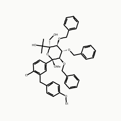 CCOc1ccc(Cc2cc([C@]3(OC)O[C@@](CO)(C(C)(C)O)[C@@H](OCc4ccccc4)[C@H](OCc4ccccc4)[C@H]3OCc3ccccc3)ccc2Cl)cc1